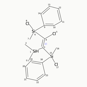 C[SiH](C)/C(=C(/Cl)[Si](C)(Cl)c1ccccc1)[Si](C)(Cl)c1ccccc1